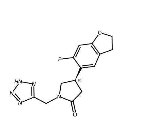 O=C1C[C@H](c2cc3c(cc2F)OCC3)CN1Cc1nn[nH]n1